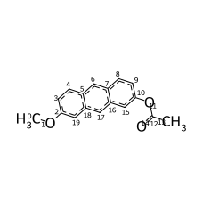 COc1ccc2cc3ccc(OC(C)=O)cc3cc2c1